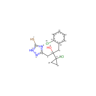 OC(Cc1n[nH]c(S)n1)(Cc1ccccc1Cl)C1(Cl)CC1